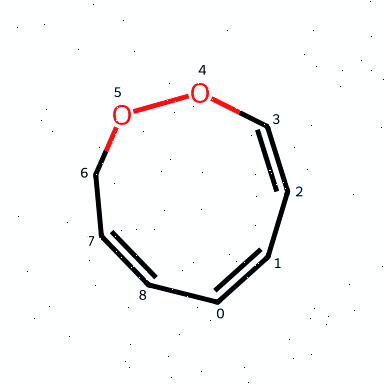 C1=CC=COOCC=C1